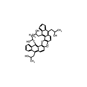 CC(O)Cc1c2ccccc2c(CC(C)O)c2c(Oc3c(Cl)ccc4c(CC(C)O)c5ccccc5c(CC(C)O)c34)c(Cl)ccc12